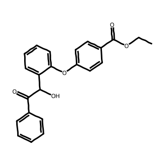 CCOC(=O)c1ccc(Oc2ccccc2C(O)C(=O)c2ccccc2)cc1